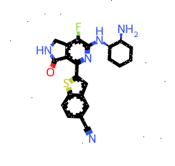 N#Cc1ccc2sc(-c3nc(N[C@@H]4CCCC[C@@H]4N)c(F)c4c3C(=O)NC4)cc2c1